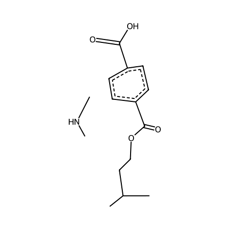 CC(C)CCOC(=O)c1ccc(C(=O)O)cc1.CNC